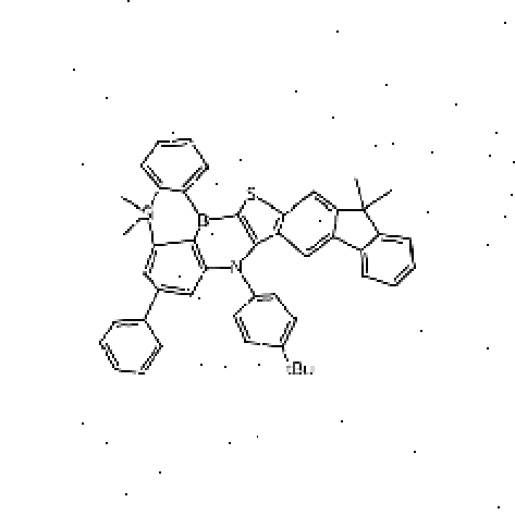 CC(C)(C)c1ccc(N2c3cc(-c4ccccc4)cc4c3B(c3ccccc3[Si]4(C)C)c3sc4cc5c(cc4c32)-c2ccccc2C5(C)C)cc1